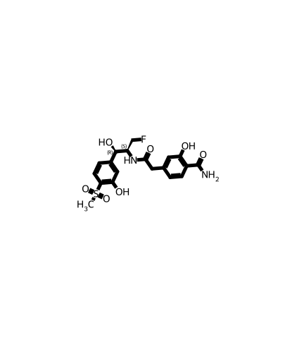 CS(=O)(=O)c1ccc([C@@H](O)[C@@H](CF)NC(=O)Cc2ccc(C(N)=O)c(O)c2)cc1O